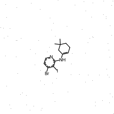 CC1(C)CCC=C(Nc2nccc(Br)c2I)C1